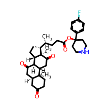 C[C@H](CCC(=O)OC1(c2ccc(F)cc2)CCNCC1)[C@H]1CC[C@H]2[C@@H]3C(=O)C[C@@H]4CC(=O)CC[C@]4(C)[C@H]3CC(=O)[C@]12C